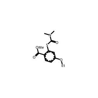 CCOc1ccc(C(=O)OC)c(SC(=O)N(C)C)c1